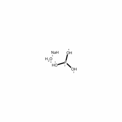 O.OP(O)O.[NaH]